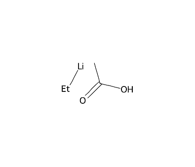 CC(=O)O.[Li][CH2]C